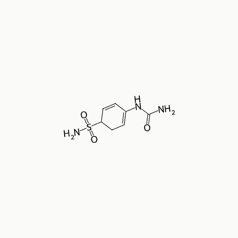 NC(=O)NC1=CCC(S(N)(=O)=O)C=C1